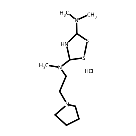 CN(C)C1NC(N(C)CCN2CCCC2)SS1.Cl